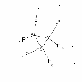 FC1(F)C(F)(F)C1(F)F